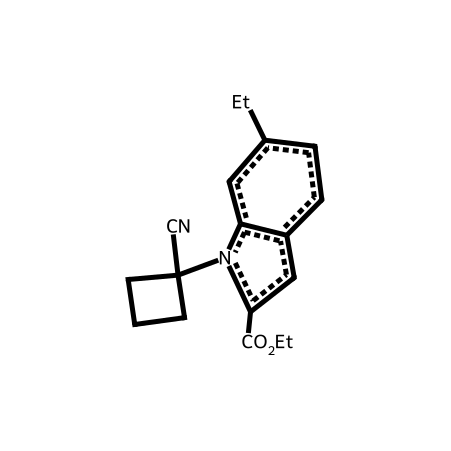 CCOC(=O)c1cc2ccc(CC)cc2n1C1(C#N)CCC1